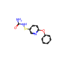 NC(=O)NSc1ccc(Oc2ccccc2)nc1